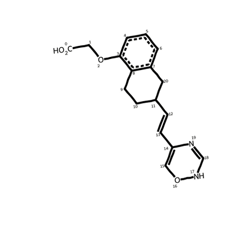 O=C(O)COc1cccc2c1CCC(C=CC1=CONC=N1)C2